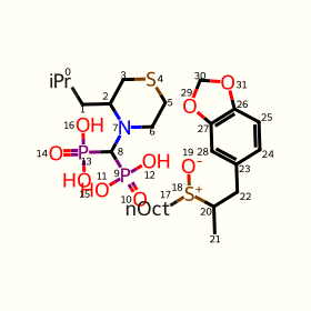 CC(C)CC1CSCCN1C(P(=O)(O)O)P(=O)(O)O.CCCCCCCC[S+]([O-])C(C)Cc1ccc2c(c1)OCO2